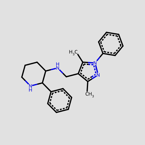 Cc1nn(-c2ccccc2)c(C)c1CNC1CCCNC1c1ccccc1